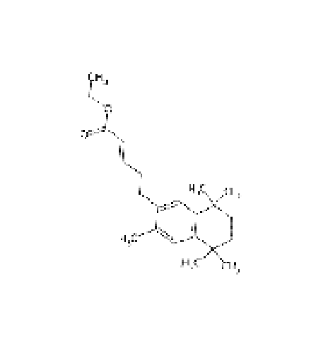 CCOC(=O)C=CCCc1cc2c(cc1C)C(C)(C)CCC2(C)C